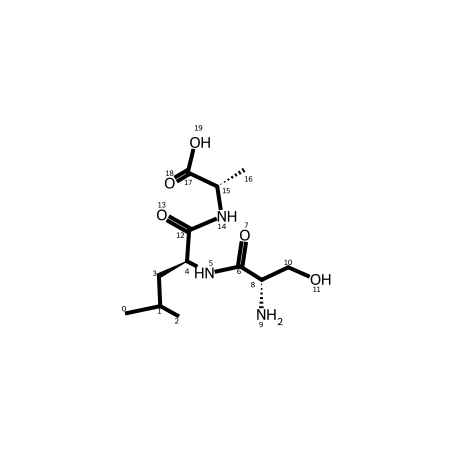 CC(C)C[C@H](NC(=O)[C@@H](N)CO)C(=O)N[C@@H](C)C(=O)O